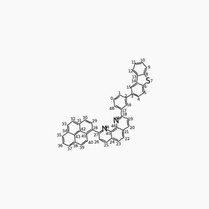 c1cc(-c2ccc3sc4ccccc4c3c2)cc(-c2ccc3ccc4ccc(-c5ccc6ccc7cccc8ccc5c6c78)nc4c3n2)c1